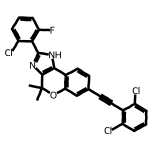 CC1(C)Oc2cc(C#Cc3c(Cl)cccc3Cl)ccc2-c2[nH]c(-c3c(F)cccc3Cl)nc21